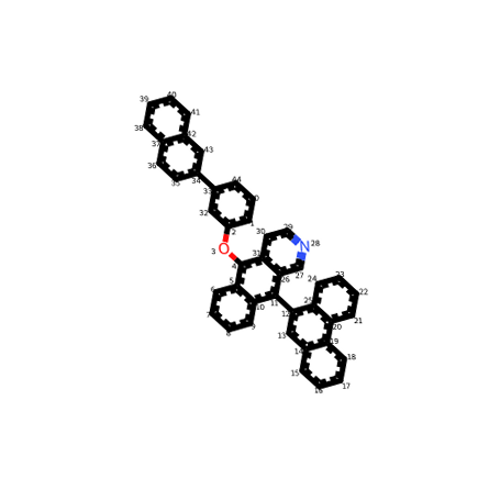 c1cc(Oc2c3ccccc3c(-c3cc4ccccc4c4ccccc34)c3cnccc23)cc(-c2ccc3ccccc3c2)c1